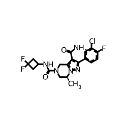 C[C@H]1CN(C(=O)NC2CC(F)(F)C2)Cc2c(C(N)=O)c(-c3ccc(F)c(Cl)c3)nn21